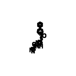 Cn1cc(C(=O)Nc2ccc(/C=C/C(=O)N3CCC=C(c4ccccc4)CC3)cn2)cn1